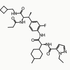 CCC(=O)N[C@@H](C(=O)NCC1CCC1)[C@@H](C)c1ccc(NC(=O)[C@@H](NC(=O)c2ccnn2CC)C2CCC(C)CC2)c(F)c1